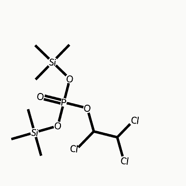 C[Si](C)(C)OP(=O)(OC(Cl)C(Cl)Cl)O[Si](C)(C)C